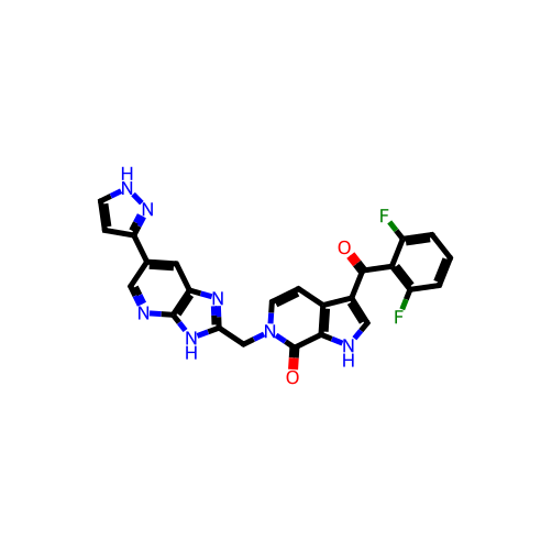 O=C(c1c(F)cccc1F)c1c[nH]c2c(=O)n(Cc3nc4cc(-c5cc[nH]n5)cnc4[nH]3)ccc12